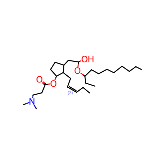 CC/C=C\CC1C(CC(O)OC(CC)CCCCCCCC)CCC1OC(=O)CCN(C)C